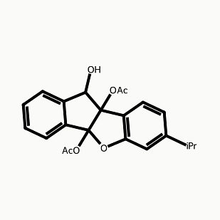 CC(=O)OC12Oc3cc(C(C)C)ccc3C1(OC(C)=O)C(O)c1ccccc12